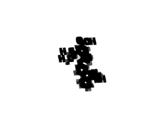 CCC(C)c1cc(C(=O)O)cn2ncc(Cc3ccc(-c4ccccc4-c4nnn[nH]4)cc3)c12